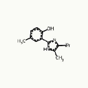 Cc1ccc(O)c(-c2nc(C(C)C)c(C)[nH]2)c1